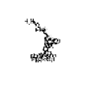 Cc1ccc([C@@H](c2ccn3c(C(F)(F)F)nnc3c2C)C(C)(C)C(=O)O)cc1CN1CC2(CCOCC2)Oc2nc(CCC(=O)NCCOCCN)ccc2S1(=O)=O